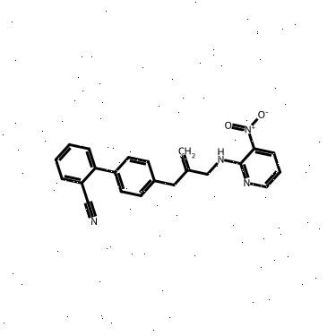 C=C(CNc1ncccc1[N+](=O)[O-])Cc1ccc(-c2ccccc2C#N)cc1